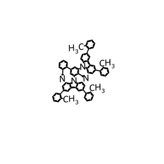 Cc1ccccc1-c1ccc2c(c1)c1cc(-c3ccccc3C)ccc1n2-c1cc(-c2ccccc2C#N)cc(-n2c3ccc(-c4ccccc4C)cc3c3cc(-c4ccccc4C)ccc32)c1C#N